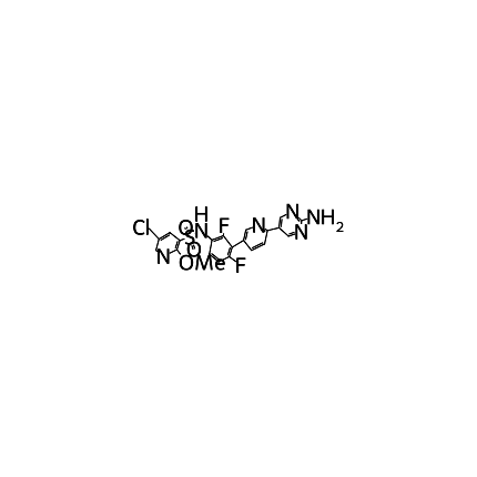 COc1ncc(Cl)cc1S(=O)(=O)Nc1ccc(F)c(-c2ccc(-c3cnc(N)nc3)nc2)c1F